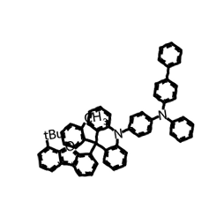 Cc1ccccc1C1(c2cccc3c2oc2c(C(C)(C)C)cccc23)c2ccccc2N(c2ccc(N(c3ccccc3)c3ccc(-c4ccccc4)cc3)cc2)c2ccccc21